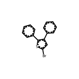 Brc1cc(-c2ccccc2)c(-c2ccccc2)s1